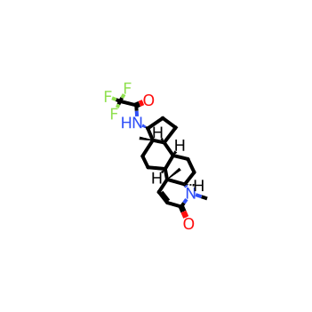 CN1C(=O)C=C[C@]2(C)[C@H]3CC[C@]4(C)[C@@H](NC(=O)C(F)(F)F)CC[C@H]4[C@@H]3CC[C@@H]12